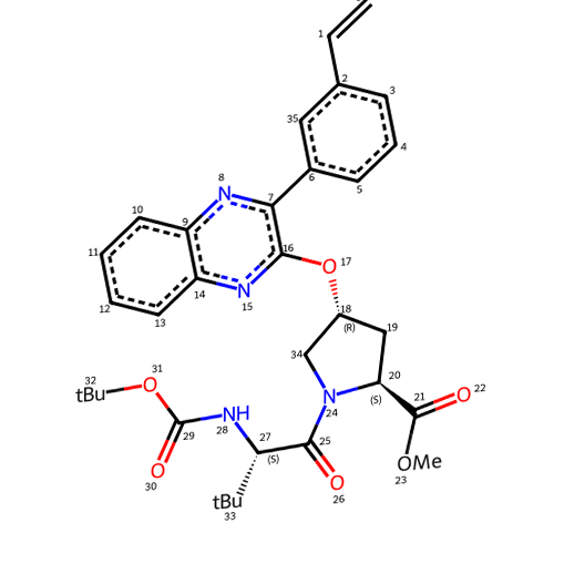 C=Cc1cccc(-c2nc3ccccc3nc2O[C@@H]2C[C@@H](C(=O)OC)N(C(=O)[C@@H](NC(=O)OC(C)(C)C)C(C)(C)C)C2)c1